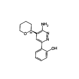 Nc1nnc(-c2ccccc2O)cc1[C@@H]1CCCCO1